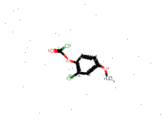 O=C(Cl)Oc1ccc(OC(Cl)(Cl)Cl)cc1Cl